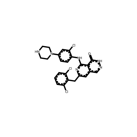 O=c1[nH]ncc2cc(Cc3c(Cl)cccc3Cl)nc(Nc3ccc(N4CCNCC4)cc3Cl)c12